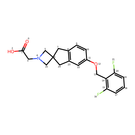 O=C(O)CN1CC2(Cc3ccc(OCc4c(F)cccc4F)cc3C2)C1